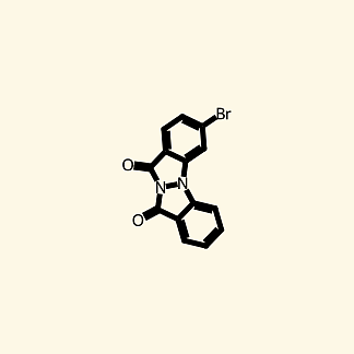 O=c1c2ccccc2n2c3cc(Br)ccc3c(=O)n12